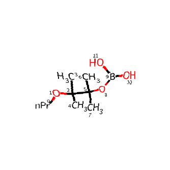 CCCOC(C)(C)C(C)(C)OB(O)O